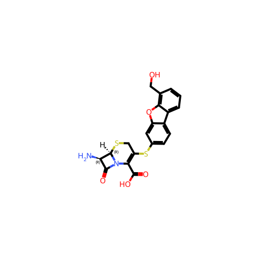 N[C@@H]1C(=O)N2C(C(=O)O)=C(Sc3ccc4c(c3)oc3c(CO)cccc34)CS[C@H]12